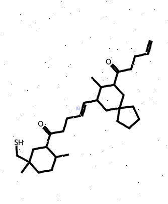 C=CCCC(=O)C1CC2(CCCC2)CC(/C=C/CCC(=O)C2CC(C)(CS)CCC2C)C1C